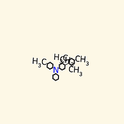 Cc1ccc(N(c2ccccc2)c2ccc(-c3c(C)cc(C)cc3C)c(C)c2)cc1